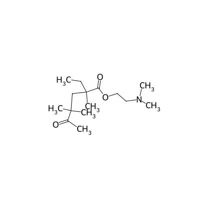 CCC(C)(CC(C)(C)C(C)=O)C(=O)OCCN(C)C